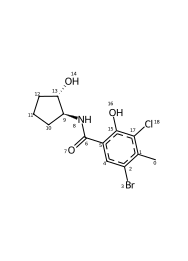 Cc1c(Br)cc(C(=O)N[C@H]2CCC[C@@H]2O)c(O)c1Cl